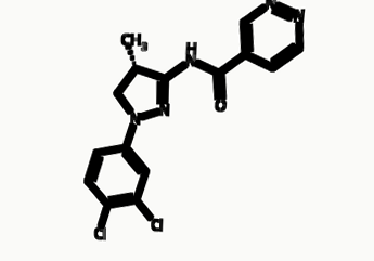 C[C@H]1CN(c2ccc(Cl)c(Cl)c2)N=C1NC(=O)c1ccnnc1